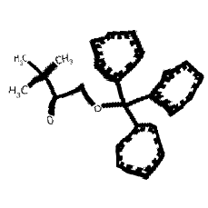 CC(C)(C)C(=O)COC(c1ccccc1)(c1ccccc1)c1ccccc1